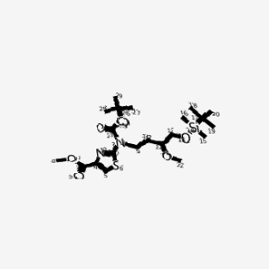 COC(=O)c1csc(N(CCC(CO[Si](C)(C)C(C)(C)C)OC)C(=O)OC(C)(C)C)n1